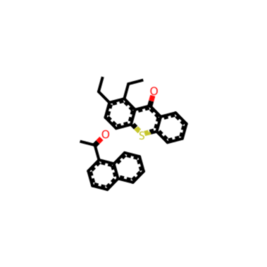 CC(=O)c1cccc2ccccc12.CCc1ccc2sc3ccccc3c(=O)c2c1CC